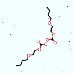 CCCCOCCOC(=O)OOC(=O)OCCOCCCC